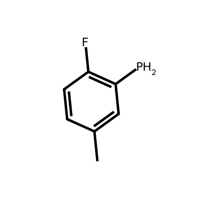 Cc1ccc(F)c(P)c1